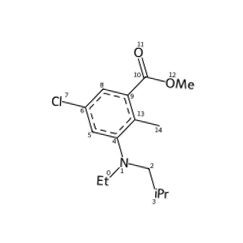 CCN(CC(C)C)c1cc(Cl)cc(C(=O)OC)c1C